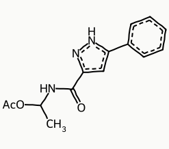 CC(=O)OC(C)NC(=O)c1cc(-c2ccccc2)[nH]n1